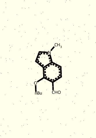 CCCCOc1c(C=O)ccc2c1ccn2C